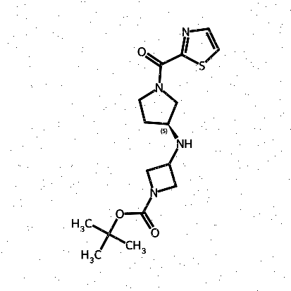 CC(C)(C)OC(=O)N1CC(N[C@H]2CCN(C(=O)c3nccs3)C2)C1